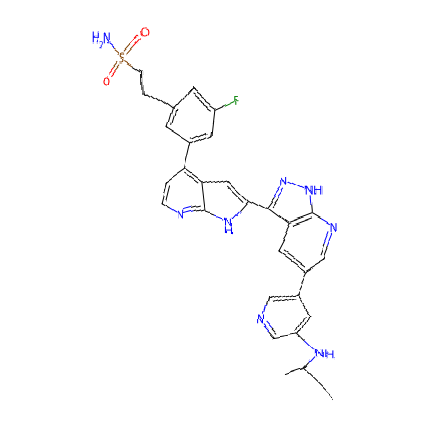 CC(C)Nc1cncc(-c2cnc3[nH]nc(-c4cc5c(-c6cc(F)cc(CCS(N)(=O)=O)c6)ccnc5[nH]4)c3c2)c1